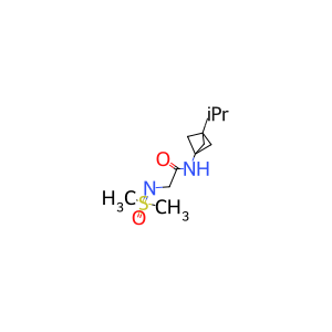 CC(C)C12CC(NC(=O)CN=S(C)(C)=O)(C1)C2